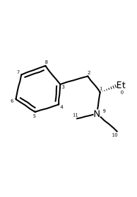 CC[C@@H](Cc1ccccc1)N(C)C